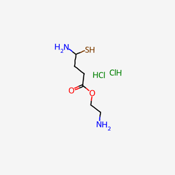 Cl.Cl.NCCOC(=O)CCC(N)S